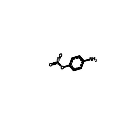 Nc1ccc(O[SH](=O)=O)cc1